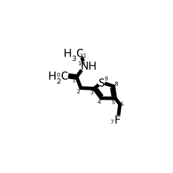 C=C(Cc1cc(CF)cs1)NC